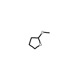 COC1CCCO1